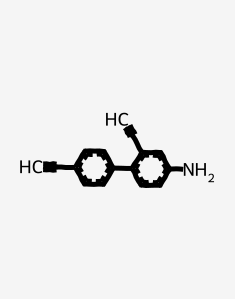 C#Cc1ccc(-c2ccc(N)cc2C#C)cc1